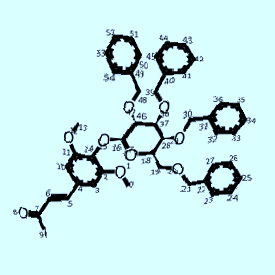 COc1cc(C=CC(=O)I)cc(OC)c1O[C@@H]1O[C@H](COCc2ccccc2)[C@H](OCc2ccccc2)[C@H](OCc2ccccc2)[C@H]1OCc1ccccc1